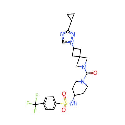 O=C(N1CCC(NS(=O)(=O)c2ccc(C(F)(F)F)cc2)CC1)N1CC2(CC(n3cnc(C4CC4)n3)C2)C1